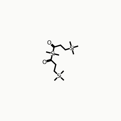 C[Si](C)(C)CCC(=O)[Si](C)(C)C(=O)CC[Si](C)(C)C